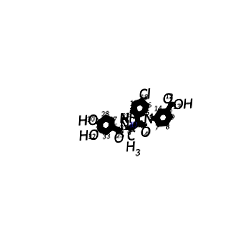 C/C(=C1\C(=O)N(c2cccc(C(=O)O)c2)c2cc(Cl)ccc21)N(N)C(=O)c1ccc(O)c(O)c1